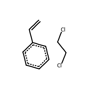 C=Cc1ccccc1.ClCCCl